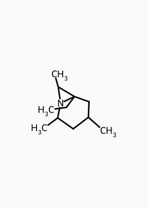 CCC12CC(C)CC(C)N1C2C